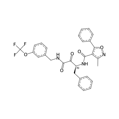 Cc1noc(-c2ccccc2)c1C(=O)N[C@@H](Cc1ccccc1)C(=O)C(=O)NCc1cccc(OC(F)(F)F)c1